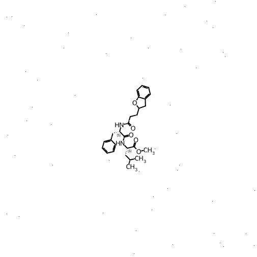 COC(=O)[C@H](CC(C)C)NC(=O)[C@H](Cc1ccccc1)NC(=O)CCC1Cc2ccccc2O1